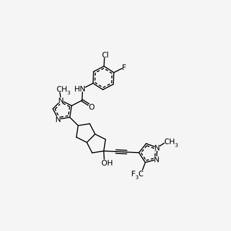 Cn1cc(C#CC2(O)CC3CC(c4ncn(C)c4C(=O)Nc4ccc(F)c(Cl)c4)CC3C2)c(C(F)(F)F)n1